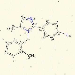 Cc1ccccc1Cn1c(C)cnc1-c1ccc(I)cc1